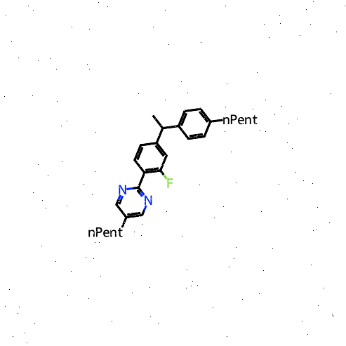 CCCCCc1ccc(C(C)c2ccc(-c3ncc(CCCCC)cn3)c(F)c2)cc1